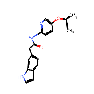 CC(C)Oc1ccc(NC(=O)Cc2ccc3cc[nH]c3c2)nc1